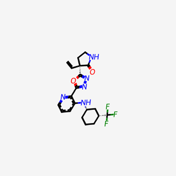 C=C[C@@]1(c2nnc(-c3ncccc3N[C@H]3CCC[C@@H](C(F)(F)F)C3)o2)CCNC1=O